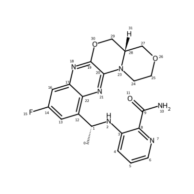 C[C@@H](Nc1cccnc1C(N)=O)c1cc(F)cc2nc3c(nc12)N1CCOC[C@H]1CO3